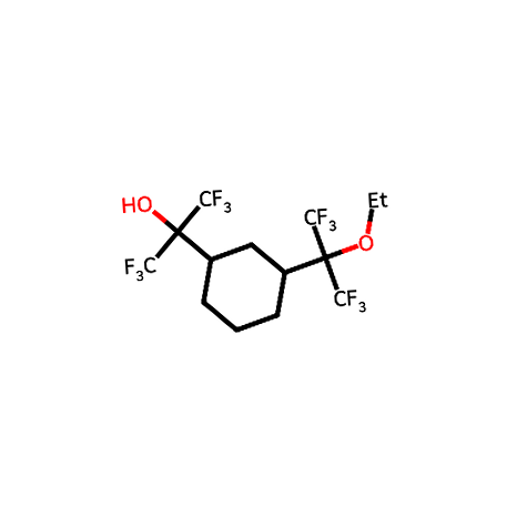 CCOC(C1CCCC(C(O)(C(F)(F)F)C(F)(F)F)C1)(C(F)(F)F)C(F)(F)F